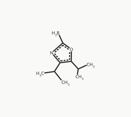 Bc1nc(C(C)C)c(C(C)C)o1